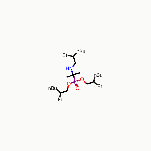 CCCCC(CC)CNC(C)(C)P(=O)(OCC(CC)CCCC)OCC(CC)CCCC